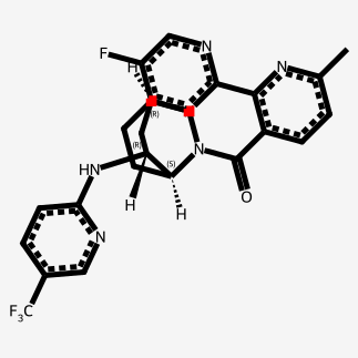 Cc1ccc(C(=O)N2C[C@@H]3CC[C@H]2[C@H](Nc2ccc(C(F)(F)F)cn2)C3)c(-c2ncc(F)cn2)n1